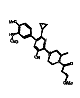 COCCC(=O)N1CCN(c2nc(C3CC3)c(-c3ccc(OC)c(NC=O)c3)cc2C#N)CC1C